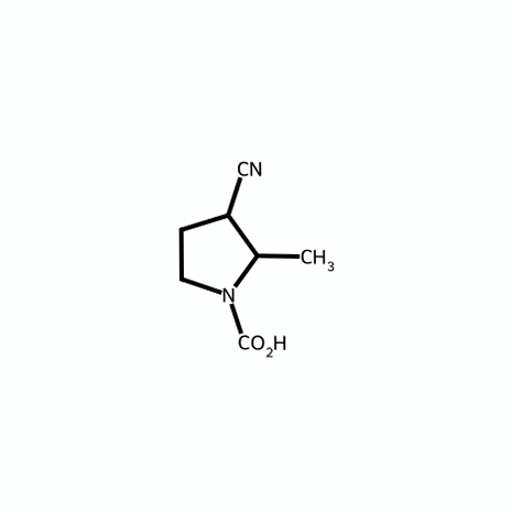 CC1C(C#N)CCN1C(=O)O